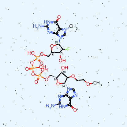 COCCOC1[C@@H](O)[C@@H](COP(=O)(O)OP(=O)(O)OP(=O)(O)OC[C@H]2O[C@@H](n3c[n+](C)c4c(=O)[nH]c(N)nc43)C(F)[C@H]2O)O[C@H]1n1cnc2c(=O)[nH]c(N)nc21